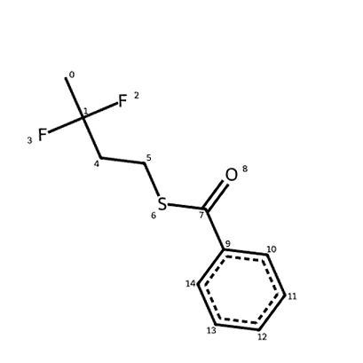 CC(F)(F)CCSC(=O)c1ccccc1